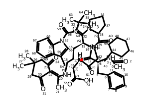 CC(=O)N[C@@H](Cc1ccccc1)C(=O)N[C@@H](CCCNC(C)=C1C(=O)CC(C)(C)CC1=O)C(=O)N1CCC[C@H]1C(=O)N[C@H](CC1CCCCC1)C(=O)N[C@@H](Cc1cn(C(=O)OC(C)(C)C)c2ccccc12)C(=O)O